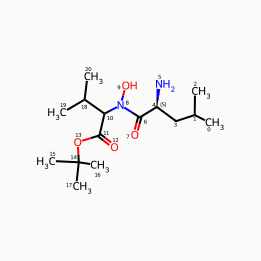 CC(C)C[C@H](N)C(=O)N(O)C(C(=O)OC(C)(C)C)C(C)C